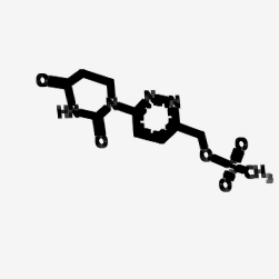 CS(=O)(=O)OCc1ccc(N2CCC(=O)NC2=O)nn1